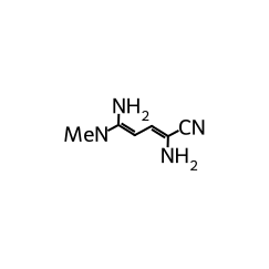 CN/C(N)=C/C=C(\N)C#N